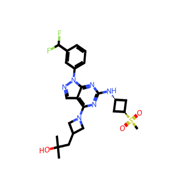 CC(C)(O)CC1CN(c2nc(N[C@H]3C[C@H](S(C)(=O)=O)C3)nc3c2cnn3-c2cccc(C(F)F)c2)C1